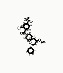 CCO[C@@H]1C[C@H](c2ccccc2)OC2(CCN(C(=O)c3ccc(S(C)(=O)=O)cc3Cl)CC2)C1